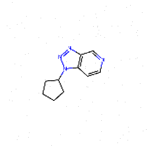 c1cc2c(cn1)nnn2C1CCCC1